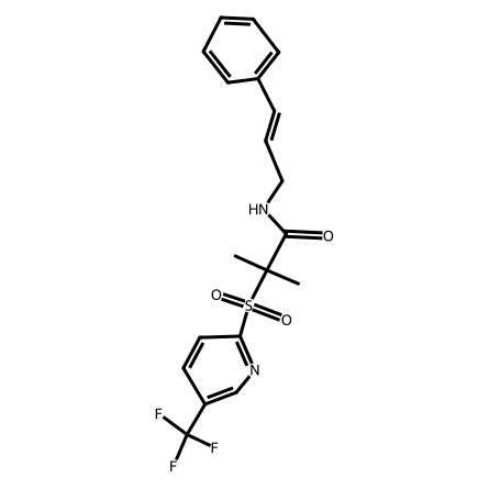 CC(C)(C(=O)NC/C=C/c1ccccc1)S(=O)(=O)c1ccc(C(F)(F)F)cn1